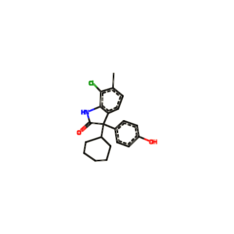 Cc1ccc2c(c1Cl)NC(=O)C2(c1ccc(O)cc1)C1CCCCC1